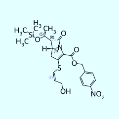 C[C@H](O[Si](C)(C)C)[C@@H]1C(=O)N2C(C(=O)OCc3ccc([N+](=O)[O-])cc3)=C(S/C=C\CO)C[C@H]12